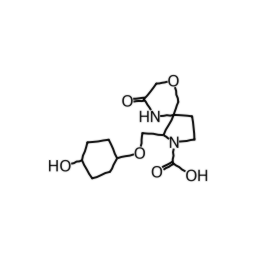 O=C1COCC2(CCN(C(=O)O)C2COC2CCC(O)CC2)N1